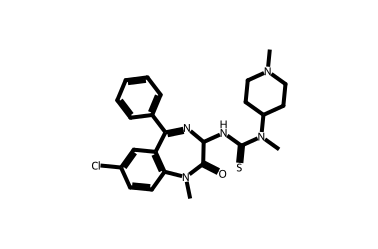 CN1CCC(N(C)C(=S)NC2N=C(c3ccccc3)c3cc(Cl)ccc3N(C)C2=O)CC1